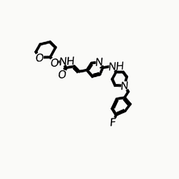 O=C(/C=C/c1ccc(NC2CCN(Cc3ccc(F)cc3)CC2)nc1)NOC1CCCCO1